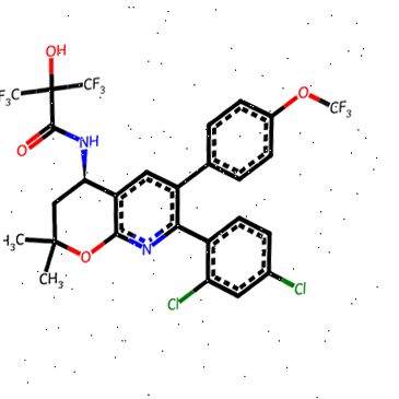 CC1(C)C[C@@H](NC(=O)C(O)(C(F)(F)F)C(F)(F)F)c2cc(-c3ccc(OC(F)(F)F)cc3)c(-c3ccc(Cl)cc3Cl)nc2O1